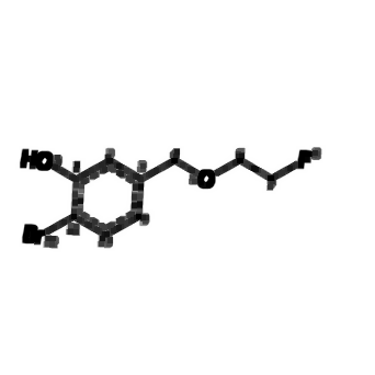 Oc1cc(COCCF)ccc1Br